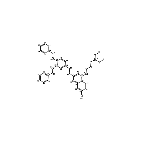 CCN(CC)CCCNc1nc(C=Cc2ccc(OCc3ccccc3)c(OCc3ccccc3)c2)nc2cc(Cl)ccc12